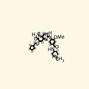 COc1cc(C(=O)NC2CCN(C)CC2)ccc1Nc1ncc2c(cc(OCC3CCCC3)c(=O)n2C)n1